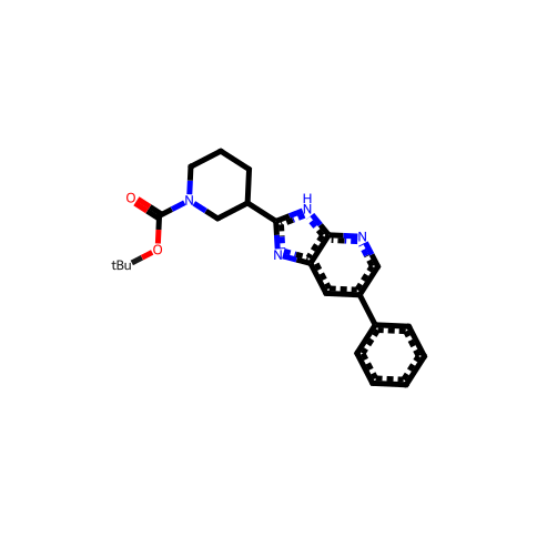 CC(C)(C)OC(=O)N1CCCC(c2nc3cc(-c4ccccc4)cnc3[nH]2)C1